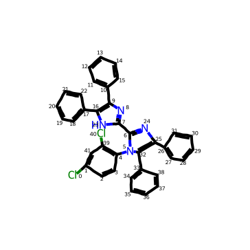 Clc1ccc(-n2c(-c3nc(-c4ccccc4)c(-c4ccccc4)[nH]3)nc(-c3ccccc3)c2-c2ccccc2)c(Cl)c1